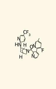 Cc1cnc(-c2cccnc2C(=O)N2C[C@H]3C[C@@H](Nc4ccc(C(F)(F)F)cn4)[C@@H]2C3)c(F)c1